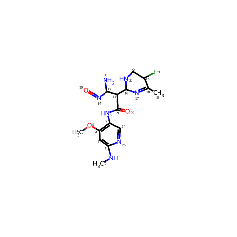 CNc1cc(OC)c(NC(=O)C(C(N)N=O)C2N=C(C)C(F)CN2)cn1